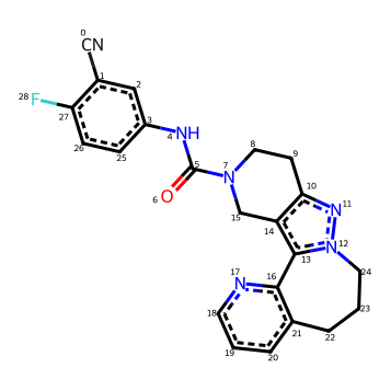 N#Cc1cc(NC(=O)N2CCc3nn4c(c3C2)-c2ncccc2CCC4)ccc1F